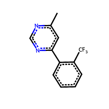 Cc1cc(-c2ccccc2C(F)(F)F)ncn1